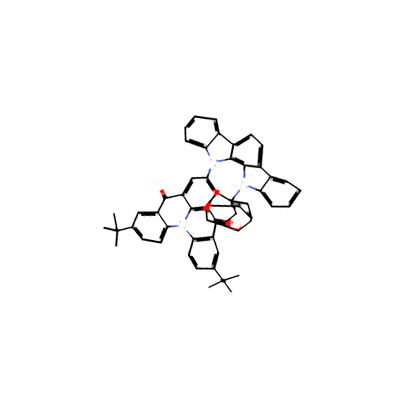 CC(C)(C)c1ccc2c(c1)c(=O)c1cc(-n3c4ccccc4c4ccc5c6ccccc6n(C67CC8CC(CC(C8)C6)C7)c5c43)cc3c(=O)c4cc(C(C)(C)C)ccc4n2c13